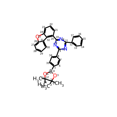 CC1(C)OB(c2ccc(-c3nc(-c4ccccc4)nc(-c4cccc5oc6ccccc6c45)n3)cc2)OC1(C)C